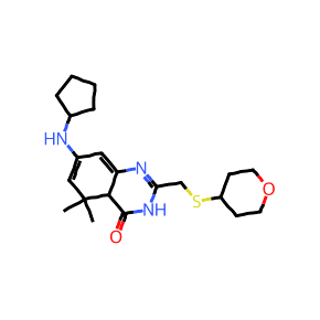 CC1(C)C=C(NC2CCCC2)C=C2N=C(CSC3CCOCC3)NC(=O)C21